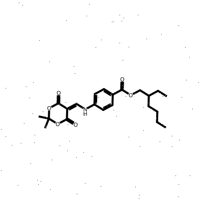 CCCCC(CC)COC(=O)c1ccc(NC=C2C(=O)OC(C)(C)OC2=O)cc1